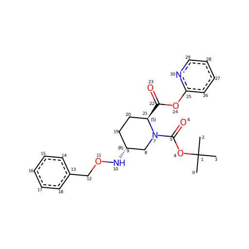 CC(C)(C)OC(=O)N1C[C@H](NOCc2ccccc2)CC[C@H]1C(=O)Oc1ccccn1